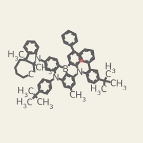 Cc1cc2c3c(c1)N(c1ccc(C(C)(C)C)cc1-c1ccccc1)c1ccc(-c4ccccc4)cc1B3c1ccc(N3c4ccccc4C4(C)CCCCCCC34C)cc1N2c1ccc(C(C)(C)C)cc1